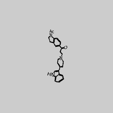 CC(=O)N1CCc2cc(C(=O)CCN3CC=C(c4c[nH]c5ccccc45)CC3)ccc21